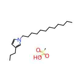 CCCCCCCCCCCCn1ccc(CCC)c1.CS(=O)(=O)O